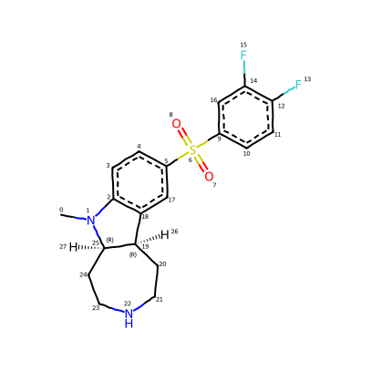 CN1c2ccc(S(=O)(=O)c3ccc(F)c(F)c3)cc2[C@H]2CCNCC[C@H]21